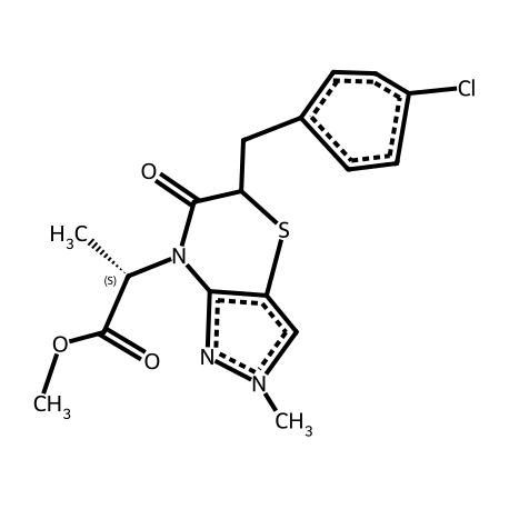 COC(=O)[C@H](C)N1C(=O)C(Cc2ccc(Cl)cc2)Sc2cn(C)nc21